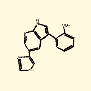 COc1ccccc1-c1c[nH]c2ncc(-c3c[nH]cn3)cc12